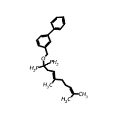 CC(C)=CCC/C(C)=C/CC(P)(P)OCc1cccc(-c2ccccc2)c1